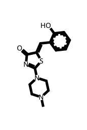 CN1CCN(C2=NC(=O)/C(=C/c3ccccc3O)S2)CC1